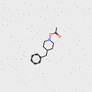 CC(=O)ON1CCC(Cc2ccccc2)CC1